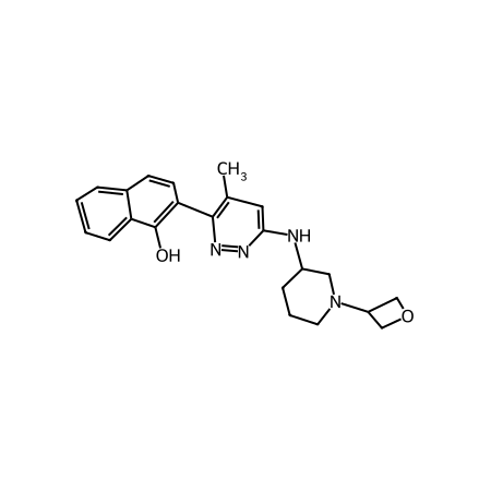 Cc1cc(NC2CCCN(C3COC3)C2)nnc1-c1ccc2ccccc2c1O